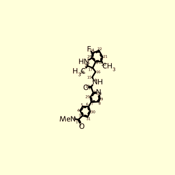 CNC(=O)c1ccc(-c2ccnc(C(=O)NCCC3c4c(C)ccc(F)c4NC3C)c2)cc1